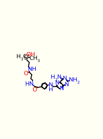 C[Si](C)(O)CCCNC(=O)CCCNC1OC1c1ccc(NCc2cnc3nc(N)nc(N)c3n2)cc1